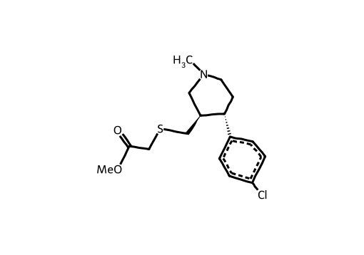 COC(=O)CSC[C@H]1CN(C)CC[C@@H]1c1ccc(Cl)cc1